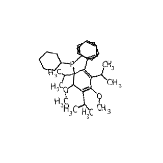 COC1=C(C(C)C)C(OC)C(C(C)C)(P(C2CCCCC2)C2CCCCC2)C(c2ccccc2)=C1C(C)C